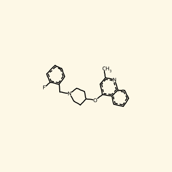 Cc1cc(OC2CCN(Cc3ccccc3F)CC2)c2ccccc2n1